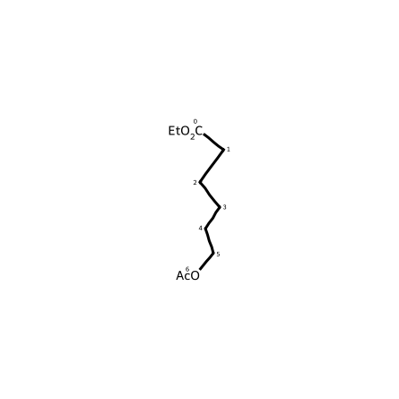 CCOC(=O)CCCCCOC(C)=O